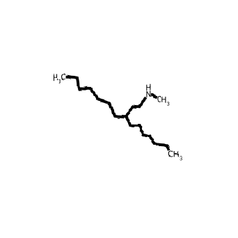 CCCCCCCC(CCCCCCC)CCNC